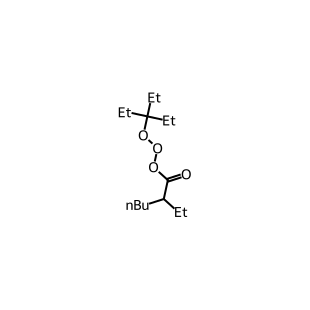 CCCCC(CC)C(=O)OOOC(CC)(CC)CC